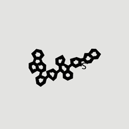 c1ccc(-c2ccc3c4c(cccc24)-c2ccccc2-3)c(-c2ccc(-c3c4ccccc4c(-c4ccc5c(c4)sc4cc6ccccc6cc45)c4ccccc34)cc2)c1